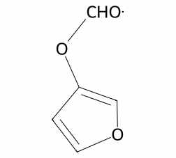 O=[C]Oc1ccoc1